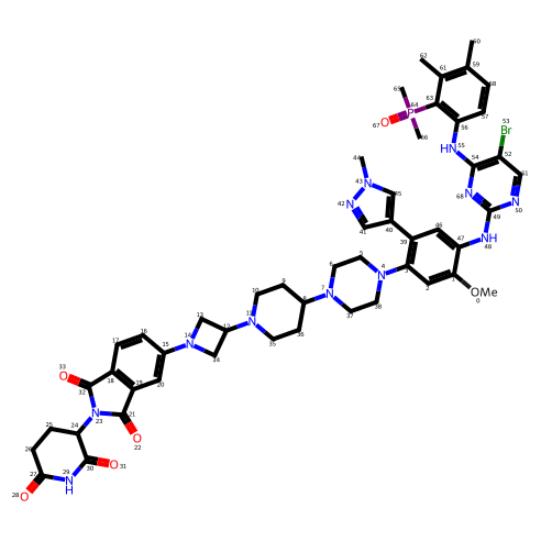 COc1cc(N2CCN(C3CCN(C4CN(c5ccc6c(c5)C(=O)N(C5CCC(=O)NC5=O)C6=O)C4)CC3)CC2)c(-c2cnn(C)c2)cc1Nc1ncc(Br)c(Nc2ccc(C)c(C)c2P(C)(C)=O)n1